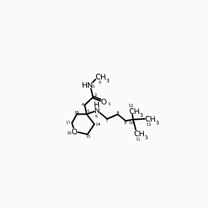 CNC(=O)CC1(NCCCC(C)(C)C)CCOCC1